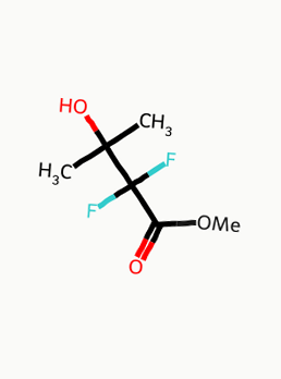 COC(=O)C(F)(F)C(C)(C)O